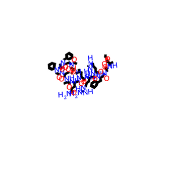 CCOC(=O)C(C)NC(=O)CNC(=O)C(Cc1ccccc1)NC(=O)C(Cc1c[nH]cn1)NC(=O)C(CCCNC(=N)N)NC(=O)C(CC(C)C)NC(=O)C(CCC(N)=O)NC(=O)C(C)NC(=O)C(CO)NC(=O)CN(C(=O)CN(Cc1ccccc1)C(=O)CN(CCOC)C(C)=O)c1ccccc1